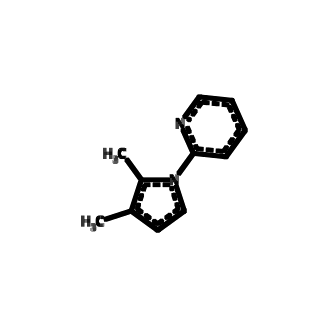 Cc1ccn(-c2ccccn2)c1C